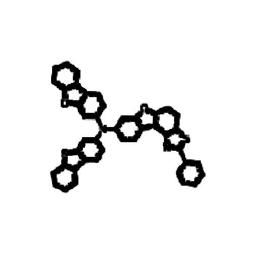 c1ccc(-c2nc3c(ccc4oc5cc(N(c6ccc7c(c6)oc6ccccc67)c6ccc7c(c6)sc6ccccc67)ccc5c43)s2)cc1